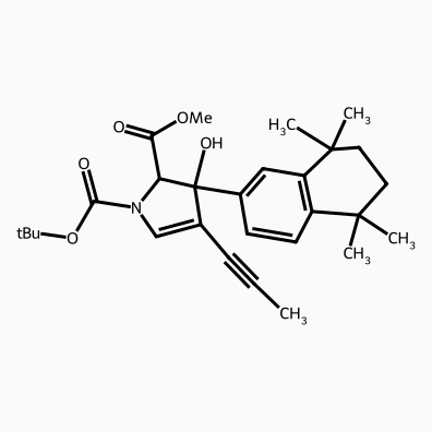 CC#CC1=CN(C(=O)OC(C)(C)C)C(C(=O)OC)C1(O)c1ccc2c(c1)C(C)(C)CCC2(C)C